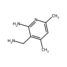 Cc1cc(C)c(CN)c(N)n1